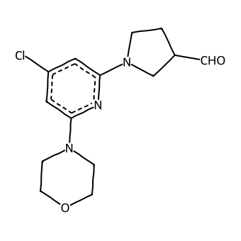 O=CC1CCN(c2cc(Cl)cc(N3CCOCC3)n2)C1